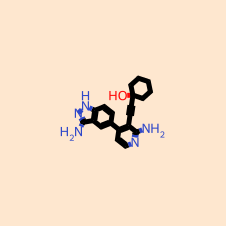 Nc1nccc(-c2ccc3[nH]nc(N)c3c2)c1C#CC1(O)CCCCC1